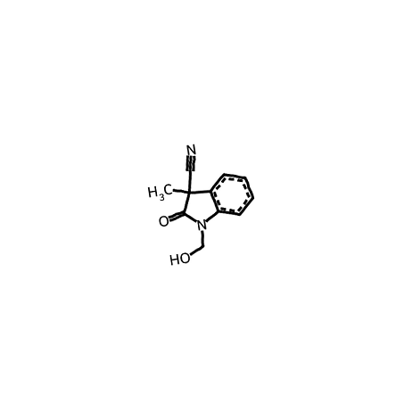 CC1(C#N)C(=O)N(CO)c2ccccc21